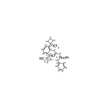 CC#N.CCCN(CCCc1c(C2(C(F)(F)F)CCC2)cccc1C1(C(F)(F)F)CCC1)Cc1ccccc1